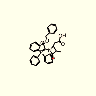 CC1C(=O)N(C(C(=O)OCc2ccccc2)=P(c2ccccc2)(c2ccccc2)c2ccccc2)C1CC(=O)O